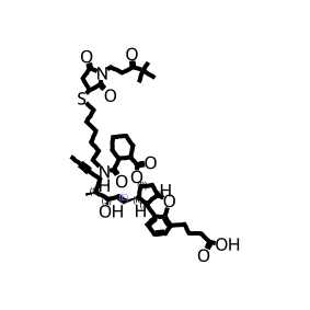 CC#CC[C@H](C)[C@H](O)/C=C/[C@@H]1[C@H]2c3cccc(CCCC(=O)O)c3O[C@H]2C[C@H]1OC(=O)C1CCCCC1C(=O)NCCCCCCSC1CC(=O)N(CCC(=O)C(C)(C)C)C1=O